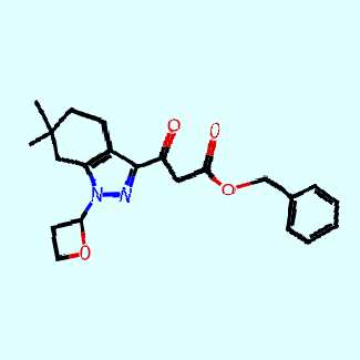 CC1(C)CCc2c(C(=O)CC(=O)OCc3ccccc3)nn(C3CCO3)c2C1